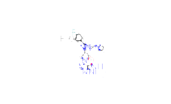 NC(=O)c1c(N)ncnc1N1CCC(c2nc(-c3ccc(F)c(C(F)(F)F)c3)cn2CCN2CCCC2)CC1